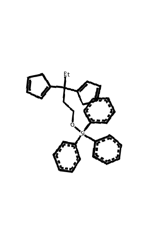 CCC(CCO[Si](c1ccccc1)(c1ccccc1)c1ccccc1)(C1=CC=CC1)C1=CC=CC1